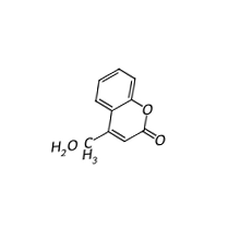 Cc1cc(=O)oc2ccccc12.O